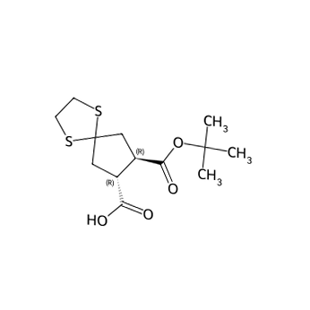 CC(C)(C)OC(=O)[C@@H]1CC2(C[C@H]1C(=O)O)SCCS2